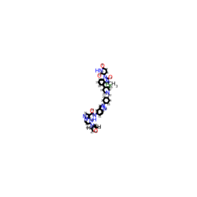 Cn1c(=O)n(C2CCC(=O)NC2=O)c2cccc(C3CCN(C[C@H]4CC[C@H](n5cc6cc(NC(=O)c7cnn8ccc(N9C[C@H]%10C[C@@H]9CO%10)nc78)ccc6n5)CC4)CC3(F)F)c21